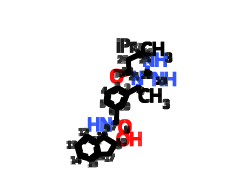 CC(c1cccc(C(=O)NC2c3ccccc3C[C@H]2O)c1)N1C(=N)N[C@](C)(C(C)C)CC1=O